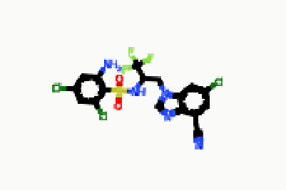 N#Cc1cc(Cl)cc2c1ncn2CC(NS(=O)(=O)c1c(N)cc(Cl)cc1Cl)C(F)(F)F